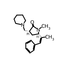 CC(=Cc1ccccc1)[C@@H]1C[C@H](CN2CCCCC2)C(=O)N1C